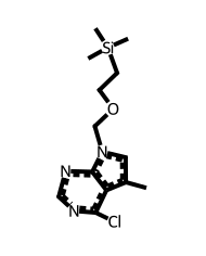 Cc1cn(COCC[Si](C)(C)C)c2ncnc(Cl)c12